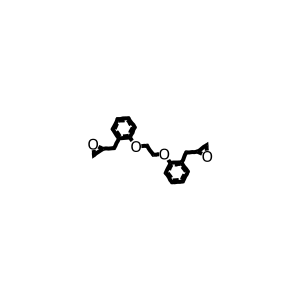 c1ccc(OCCOc2ccccc2CC2CO2)c(CC2CO2)c1